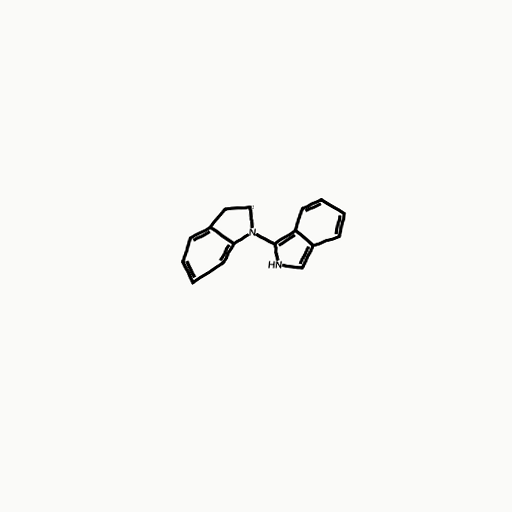 [C]1Cc2ccccc2N1c1[nH]cc2ccccc12